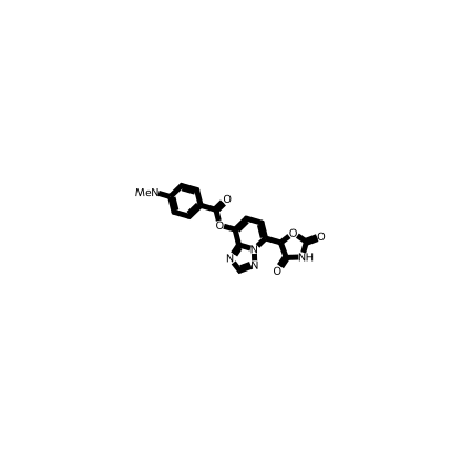 CNc1ccc(C(=O)Oc2ccc(C3OC(=O)NC3=O)n3ncnc23)cc1